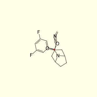 C=COC(=O)N1C2CCC1CC(C#N)(c1cc(F)cc(F)c1)C2